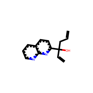 C=CCC(O)(C=C)c1ccc2cccnc2n1